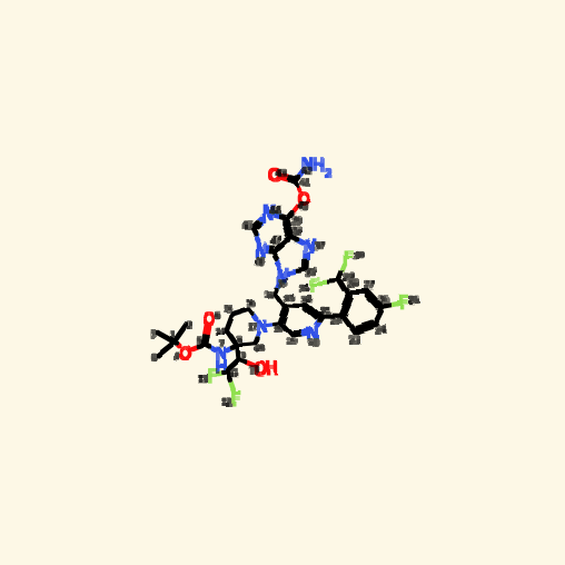 CC(C)(C)OC(=O)NC1(C(O)C(F)F)CCCN(c2cnc(-c3ccc(F)cc3C(F)F)cc2Cn2cnc3c(OC(N)=O)ncnc32)C1